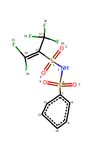 O=S(=O)(NS(=O)(=O)c1ccccc1)C(=C(F)F)C(F)(F)F